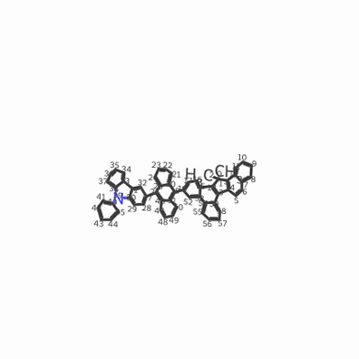 CC1(C)c2c(ccc3ccccc23)-c2c1c1ccc(-c3c4ccccc4c(-c4ccc5c(c4)c4ccccc4n5-c4ccccc4)c4ccccc34)cc1c1ccccc21